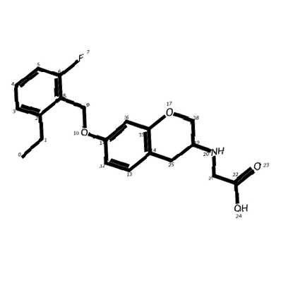 CCc1cccc(F)c1COc1ccc2c(c1)OCC(NCC(=O)O)C2